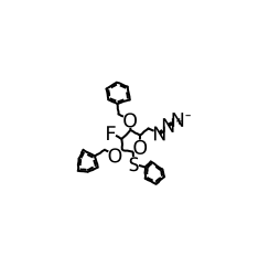 [N-]=[N+]=NCC1OC(Sc2ccccc2)C(OCc2ccccc2)C(F)C1OCc1ccccc1